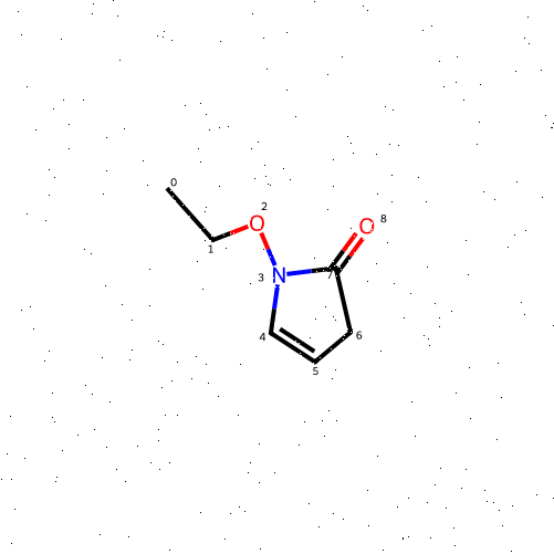 CCON1C=CCC1=O